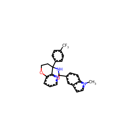 Cn1ccc2cc(C(=O)NC3(c4ccc(C(F)(F)F)cc4)CCOc4cccnc43)ccc21